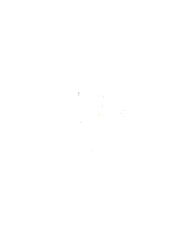 CC(C)=O.O=S1(=O)CCCC1